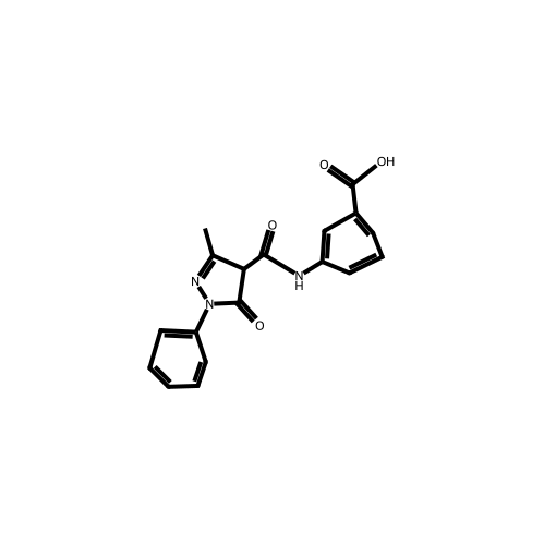 CC1=NN(c2ccccc2)C(=O)C1C(=O)Nc1cccc(C(=O)O)c1